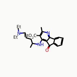 CCOC(=O)c1c(C)nc2c(c1NC(C)CCCN(CC)CC)C(=O)c1ccccc1-2